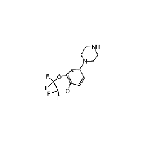 FC1(F)Oc2ccc(N3CCNCC3)cc2OC1(F)F